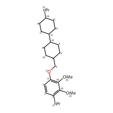 CCCc1ccc(OCC2CCC(C3CCC(CCC)CC3)CC2)c(OC)c1OC